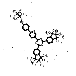 CC(C)(O)C(C)(C)OBc1ccc(-c2ccc(-c3nc(-c4ccc5c(c4)C(C)(C)C(C)(C)C5(C)C)nc(-c4ccc5c(c4)C(C)(C)C(C)(C)C5(C)C)n3)cn2)cc1